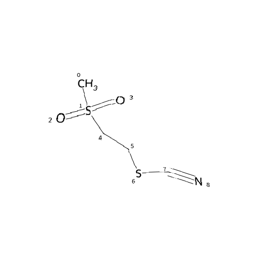 CS(=O)(=O)CCSC#N